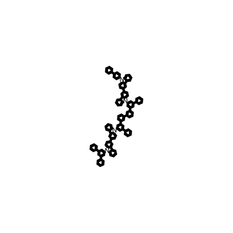 c1ccc(-c2ccc(-n3c4ccccc4c4cc(-c5ccc6c(c5)c5ccccc5n6-c5cc(-c6ccccc6)cc(-c6cccc(-c7cccc(-c8cc(-c9ccccc9)cc(-n9c%10ccccc%10c%10cc(-c%11ccc%12c(c%11)c%11ccccc%11n%12-c%11cc(-c%12ccccc%12)cc(-c%12ccccc%12)c%11)ccc%109)c8)c7)c6)c5)ccc43)cc2)cc1